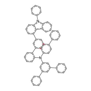 c1ccc(-c2ccc(N(c3cc(-c4ccccc4)cc(-c4ccccc4)c3)c3ccccc3-c3cccc(-c4cccc5c4c4ccccc4n5-c4ccccc4)c3)cc2)cc1